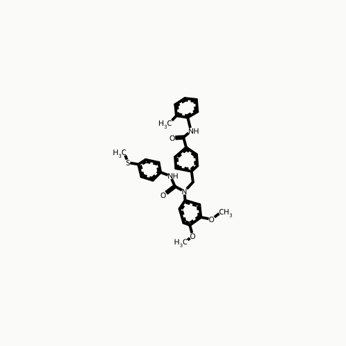 COc1ccc(N(Cc2ccc(C(=O)Nc3ccccc3C)cc2)C(=O)Nc2ccc(SC)cc2)cc1OC